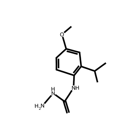 C=C(NN)Nc1ccc(OC)cc1C(C)C